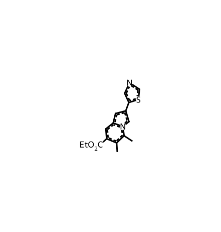 CCOC(=O)c1cc2cc(-c3cncs3)cn2c(C)c1C